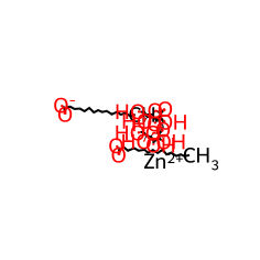 CCCCCCCCCCCCCCCC(=O)[O-].CCCCCCCCCCCCCCCC(=O)[O-].O=C1O[C@H]([C@@H](O)CO)C(O)=C1O.O=C1O[C@H]([C@@H](O)CO)C(O)=C1O.[Zn+2]